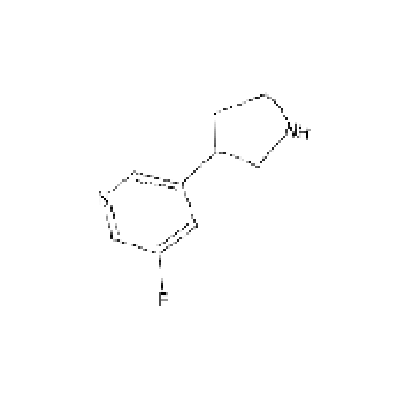 Fc1cncc(C2CCNC2)c1